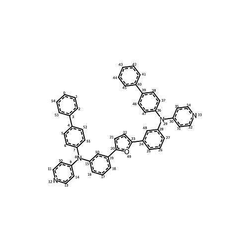 c1ccc(-c2ccc(N(c3ccncc3)c3cccc(-c4ccc(-c5cccc(N(c6ccncc6)c6ccc(-c7ccccc7)cc6)c5)o4)c3)cc2)cc1